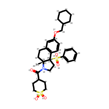 O=C(C1CCS(=O)(=O)CC1)N1CC[C@@]2(S(=O)(=O)c3ccccc3)c3ccc(OCC4CCCCC4)cc3CC[C@@H]12